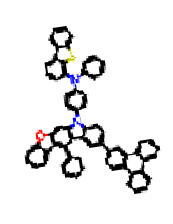 c1ccc(-c2c3c(cc4c2c2cc(-c5ccc6c7ccccc7c7ccccc7c6c5)ccc2n4-c2ccc(N(c4ccccc4)c4cccc5c4sc4ccccc45)cc2)oc2ccccc23)cc1